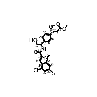 COC(=O)C[S@@+]([O-])c1ccc(C(CO)NC(=O)c2cc3c(Cl)cc(C)cc3n2C)cc1